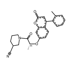 Cc1ccccc1-c1cc(=O)oc2cc(O[C@H](C)C(=O)N3CCCC(C#N)C3)ccc12